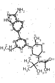 CNc1nc(-c2ccc3c(N)n[nH]c3c2)cc(N2C[C@H](N(C(=O)O)C(C)(C)C)CC[C@@H]2C)n1